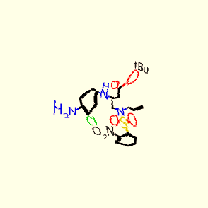 C=CCN(C[C@H](CC(=O)OC(C)(C)C)Nc1ccc(N)c(Cl)c1)S(=O)(=O)c1ccccc1[N+](=O)[O-]